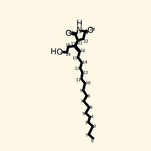 CCCCCCCCCCCCCCCCC=C(CCO)C1CC(=O)NC1=O